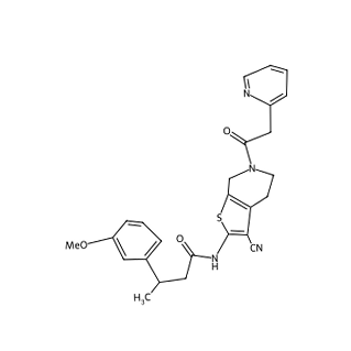 COc1cccc(C(C)CC(=O)Nc2sc3c(c2C#N)CCN(C(=O)Cc2ccccn2)C3)c1